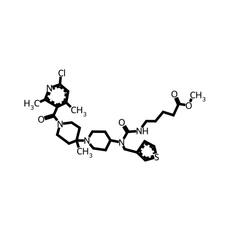 COC(=O)CCCCNC(=O)N(Cc1ccsc1)C1CCN(C2(C)CCN(C(=O)c3c(C)cc(Cl)nc3C)CC2)CC1